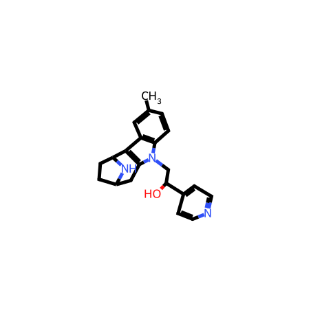 Cc1ccc2c(c1)c1c(n2CC(O)c2ccncc2)CC2CCC1N2